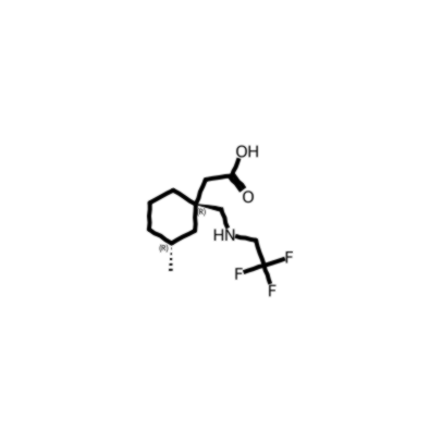 C[C@@H]1CCC[C@](CNCC(F)(F)F)(CC(=O)O)C1